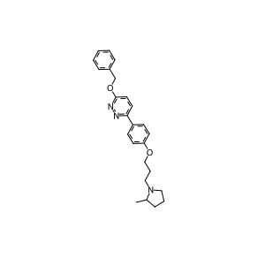 CC1CCCN1CCCOc1ccc(-c2ccc(OCc3ccccc3)nn2)cc1